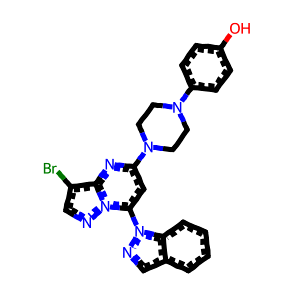 Oc1ccc(N2CCN(c3cc(-n4ncc5ccccc54)n4ncc(Br)c4n3)CC2)cc1